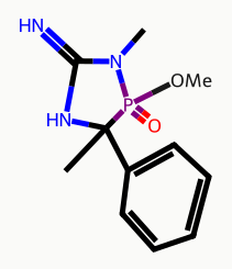 COP1(=O)N(C)C(=N)NC1(C)c1ccccc1